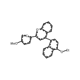 CCOc1ccc(-c2cc(-c3ccc(OC)cc3)[o+]c3ccccc23)c2ccccc12